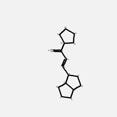 O=C(C=CC1CCC2CCCC12)C1CCCC1